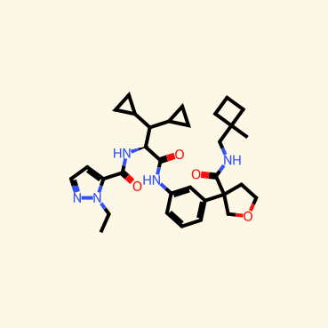 CCn1nccc1C(=O)N[C@H](C(=O)Nc1cccc(C2(C(=O)NCC3(C)CCC3)CCOC2)c1)C(C1CC1)C1CC1